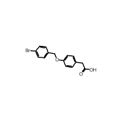 O=C(O)Cc1ccc(OCc2ccc(Br)cc2)cc1